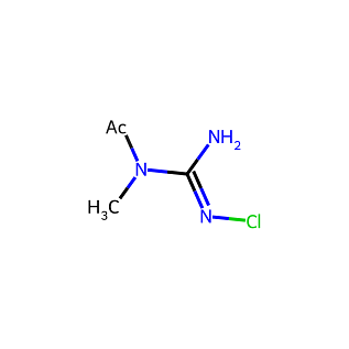 CC(=O)N(C)/C(N)=N/Cl